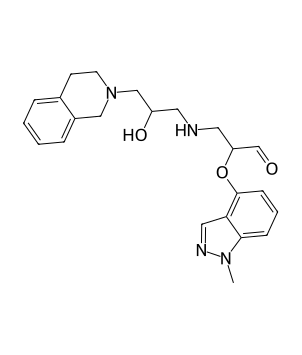 Cn1ncc2c(OC(C=O)CNCC(O)CN3CCc4ccccc4C3)cccc21